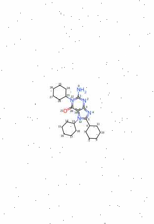 Nc1nc2nc(C3CCCCC3)n(C3CCCCC3)c2c(=O)n1C1CCCCC1